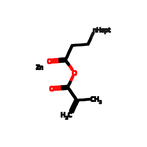 C=C(C)C(=O)OC(=O)CCCCCCCCC.[Zn]